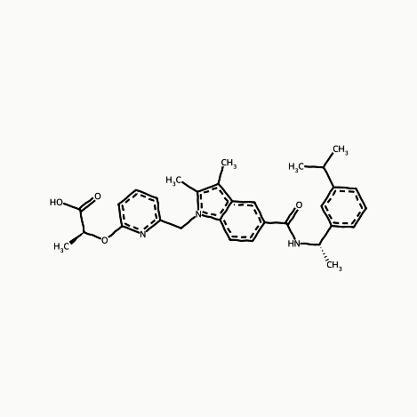 Cc1c(C)n(Cc2cccc(O[C@@H](C)C(=O)O)n2)c2ccc(C(=O)N[C@@H](C)c3cccc(C(C)C)c3)cc12